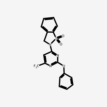 O=S1(=O)c2ccccc2CN1c1cc(C(F)(F)F)nc(Oc2ccccc2)n1